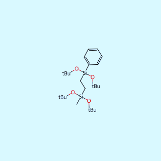 CC(C)(C)O[Si](C)(CC[Si](OC(C)(C)C)(OC(C)(C)C)c1ccccc1)OC(C)(C)C